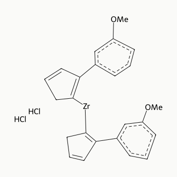 COc1cccc(C2=[C]([Zr][C]3=C(c4cccc(OC)c4)C=CC3)CC=C2)c1.Cl.Cl